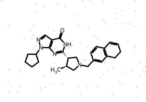 C[C@@H]1CN(Cc2ccc3c(c2)CCC=C3)C[C@H]1c1nc2c(cnn2C2CCCC2)c(=O)[nH]1